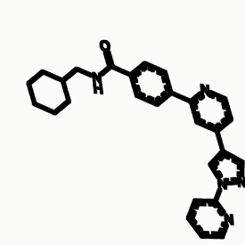 O=C(NCC1CCCCC1)c1ccc(-c2cc(-c3cnn(-c4ccccn4)c3)ccn2)cc1